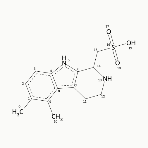 Cc1ccc2[nH]c3c(c2c1C)CCNC3CS(=O)(=O)O